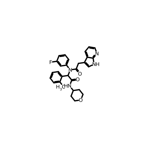 Cc1ccccc1C(C(=O)NC1CCOCC1)N(C(=O)Cc1c[nH]c2ncccc12)c1cccc(F)c1